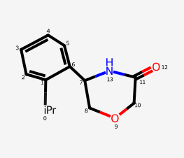 CC(C)c1ccccc1C1COCC(=O)N1